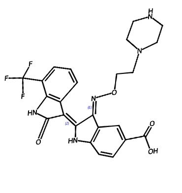 O=C1Nc2c(cccc2C(F)(F)F)/C1=C1/Nc2ccc(C(=O)O)cc2/C1=N\OCCN1CCNCC1